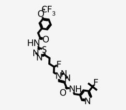 CC(C)(F)c1cncc(CNC(=O)c2cn(CC(F)CCc3nnc(NC(=O)Cc4cccc(OC(F)(F)F)c4)s3)nn2)c1